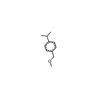 COCc1ccc(C(C)C)cc1